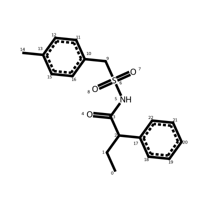 CCC(C(=O)NS(=O)(=O)Cc1ccc(C)cc1)c1ccccc1